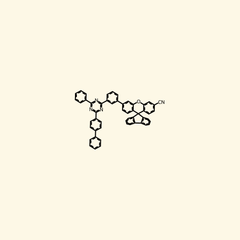 N#Cc1ccc2c(c1)Oc1cc(-c3cccc(-c4nc(-c5ccccc5)nc(-c5ccc(-c6ccccc6)cc5)n4)c3)ccc1C21c2ccccc2-c2ccccc21